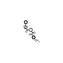 Cc1ccc(NC(=O)C2CCCN(C(=O)c3csc(-c4ccccc4)n3)C2)cc1